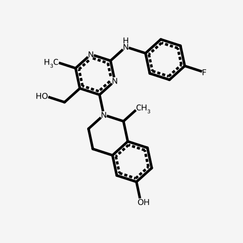 Cc1nc(Nc2ccc(F)cc2)nc(N2CCc3cc(O)ccc3C2C)c1CO